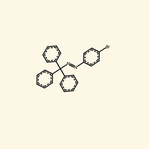 Brc1ccc(N=NC(c2ccccc2)(c2ccccc2)c2ccccc2)cc1